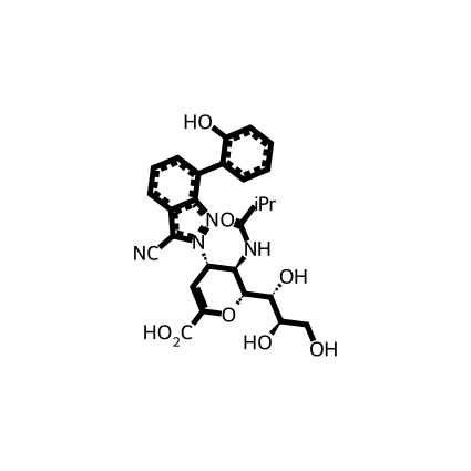 CC(C)C(=O)N[C@H]1[C@H]([C@H](O)[C@H](O)CO)OC(C(=O)O)=C[C@@H]1n1nc2c(-c3ccccc3O)cccc2c1C#N